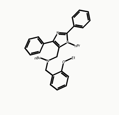 CCCCN(Cc1ccccc1OCC)Cc1c(-c2ccccc2)nc(-c2ccccc2)n1CCC